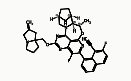 C#Cc1c(F)ccc2cccc(-c3nc4c5c(nc(OCC67CCCN6CC(=C)C7)nc5c3F)N3C[C@H]5CC[C@H](N5)[C@H]3[C@H](C)O4)c12